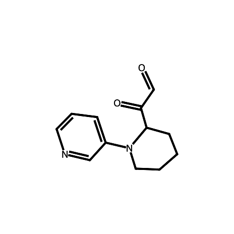 O=CC(=O)C1CCCCN1c1cccnc1